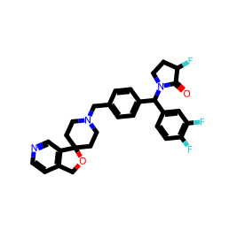 O=C1C(F)CCN1C(c1ccc(CN2CCC3(CC2)OCc2ccncc23)cc1)c1ccc(F)c(F)c1